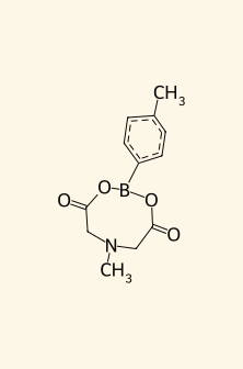 Cc1ccc(B2OC(=O)CN(C)CC(=O)O2)cc1